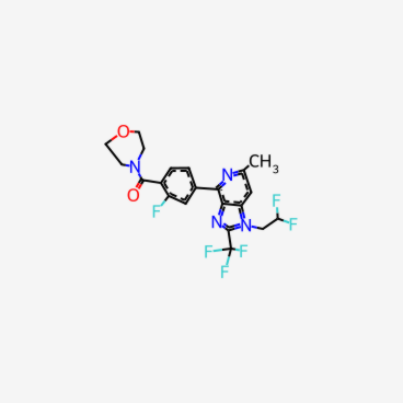 Cc1cc2c(nc(C(F)(F)F)n2CC(F)F)c(-c2ccc(C(=O)N3CCOCC3)c(F)c2)n1